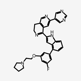 Fc1cc(OCCN2CCCC2)cc(-c2cccc3[nH]c(C4=NCCc5cnc(-c6cncnc6)cc54)cc23)c1